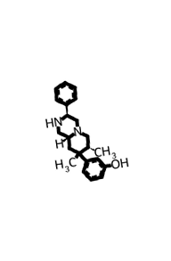 C[C@H]1CN2C[C@H](c3ccccc3)NC[C@H]2CC1(C)c1cccc(O)c1